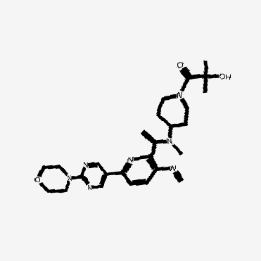 C=Nc1ccc(-c2cnc(N3CCOCC3)nc2)nc1C(=C)N(C)C1CCN(C(=O)C(C)(C)O)CC1